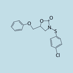 O=C1OC(COc2ccccc2)CN1Sc1ccc(Cl)cc1